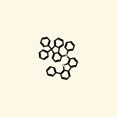 c1ccc(-c2cccc3c2oc2c(N(c4ccccc4)c4cccc5c4-c4ccccc4C5(c4ccccc4)c4ccccc4)cccc23)cc1